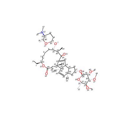 CC[C@H]1CCC[C@H](O[C@H]2CC[C@H](N(C)C)[C@@H](C)O2)[C@@H](C)C(=O)C2=CC3C4C[C@H](O[C@@H]5O[C@@H](C)[C@H](OC)[C@@H](OC)[C@H]5OC)C[C@H]4C=C[C@H]3[C@@H]2CC(=O)O1